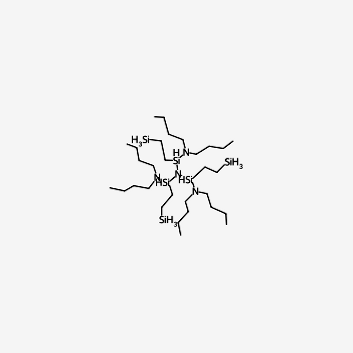 CCCCN(CCCC)[SiH](CC[SiH3])N([SiH](CC[SiH3])N(CCCC)CCCC)[SiH](CC[SiH3])N(CCCC)CCCC